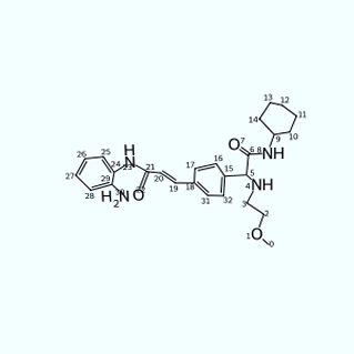 COCCNC(C(=O)NC1CCCCC1)c1ccc(C=CC(=O)Nc2ccccc2N)cc1